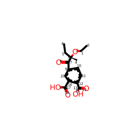 CCO[C@@](C)(CC)C(=O)c1ccc(C(=O)O)c(C(=O)O)c1